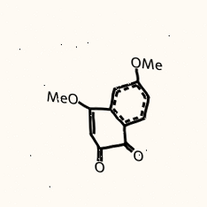 COC1=CC(=O)C(=O)c2ccc(OC)cc21